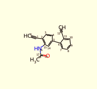 C#Cc1ccc(-c2ccccc2C#C)cc1NC(C)=O